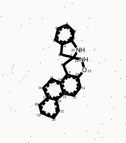 c1ccc2c(c1)CC1(Cc3c(ccc4c3ccc3ccccc34)ON1)N2